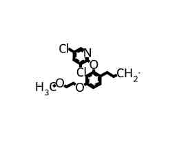 [CH2]CCc1ccc(OCCOC)cc1Oc1ncc(Cl)cc1Cl